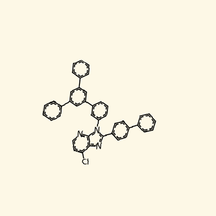 Clc1ccnc2c1nc(-c1ccc(-c3ccccc3)cc1)n2-c1cccc(-c2cc(-c3ccccc3)cc(-c3ccccc3)c2)c1